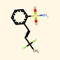 CC(F)(F)/C=C/c1ccccc1S(N)(=O)=O